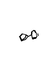 C1=C2CC(C1)C(c1ccncc1)C2